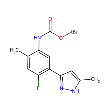 Cc1cc(-c2cc(NC(=O)OC(C)(C)C)c(C)cc2F)n[nH]1